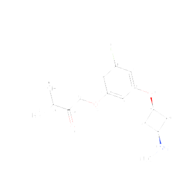 CN[C@H]1C[C@@H](OC2=CC(F)CC(OCC(=O)C(C)C)=C2)C1